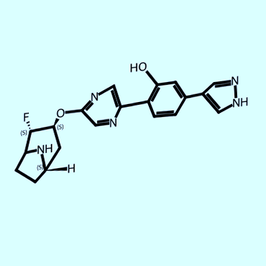 Oc1cc(-c2cn[nH]c2)ccc1-c1cnc(O[C@H]2C[C@@H]3CCC(N3)[C@@H]2F)cn1